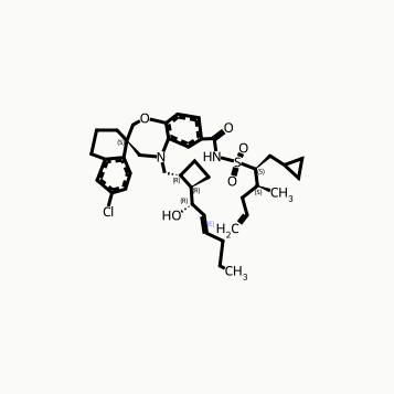 C=CC[C@H](C)[C@H](CC1CC1)S(=O)(=O)NC(=O)c1ccc2c(c1)N(C[C@@H]1CC[C@H]1[C@@H](O)/C=C/CCC)C[C@@]1(CCCc3cc(Cl)ccc31)CO2